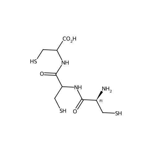 N[C@@H](CS)C(=O)NC(CS)C(=O)NC(CS)C(=O)O